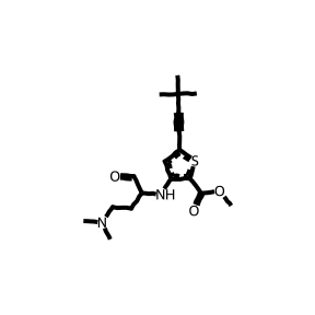 COC(=O)c1sc(C#CC(C)(C)C)cc1NC(C=O)CCN(C)C